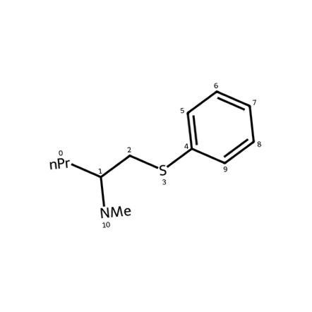 CCCC(CSc1ccccc1)NC